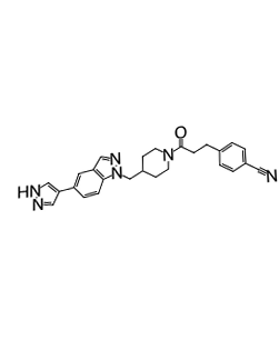 N#Cc1ccc(CCC(=O)N2CCC(Cn3ncc4cc(-c5cn[nH]c5)ccc43)CC2)cc1